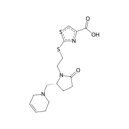 O=C(O)c1csc(SCCN2C(=O)CC[C@@H]2CN2CC=CCC2)n1